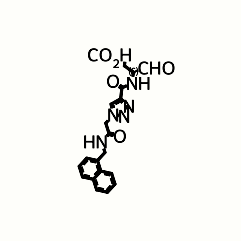 O=C[C@H](CC(=O)O)NC(=O)c1cn(CC(=O)NCc2cccc3ccccc23)nn1